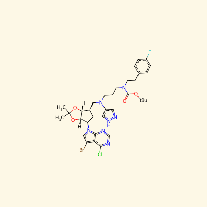 CC(C)(C)OC(=O)N(CCCN(C[C@H]1C[C@@H](n2cc(Br)c3c(Cl)ncnc32)[C@@H]2OC(C)(C)O[C@H]12)c1cn[nH]c1)CCc1ccc(F)cc1